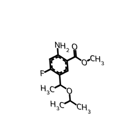 COC(=O)c1cc(C(C)OC(C)C)c(F)cc1N